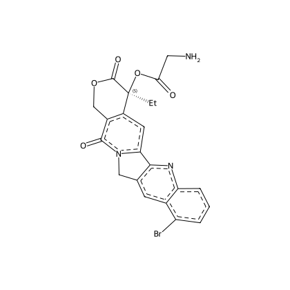 CC[C@@]1(OC(=O)CN)C(=O)OCc2c1cc1n(c2=O)Cc2cc3c(Br)cccc3nc2-1